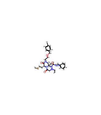 CCN1CC(=O)N2[C@@H](CCSC)C(=O)N(CCOCc3ccc(C)cc3)C[C@@H]2N1C(=O)NCc1ccccc1